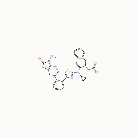 CN1C(=O)Cc2cc(-c3ccccc3-c3csc(N(C(=O)C(CC(=O)O)Cc4ccccc4)C4CC4)n3)cnc21